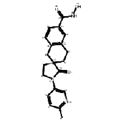 Cc1ccc(N2CC[C@@]3(CCc4cc(C(=O)NO)ccc4C3)C2=O)cn1